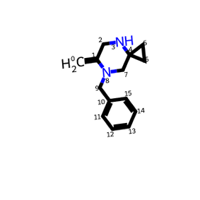 C=C1CNC2(CC2)CN1Cc1ccccc1